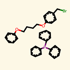 BrCc1ccc(OCCCCOc2ccccc2)cc1.c1ccc(P(c2ccccc2)c2ccccc2)cc1